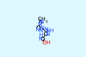 Cc1cn(-c2ccnc3[nH]c(-c4n[nH]c5ncc(-c6cncc(O)c6)cc45)nc23)cn1